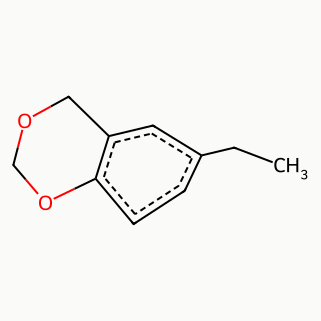 CCc1ccc2c(c1)COCO2